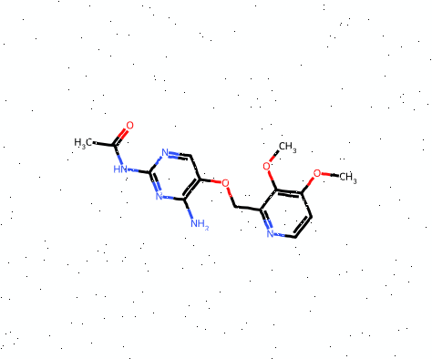 COc1ccnc(COc2cnc(NC(C)=O)nc2N)c1OC